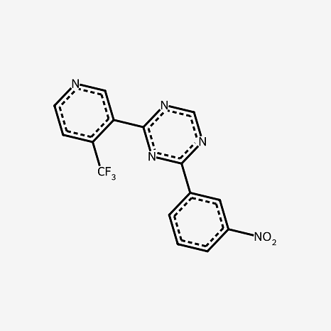 O=[N+]([O-])c1cccc(-c2ncnc(-c3cnccc3C(F)(F)F)n2)c1